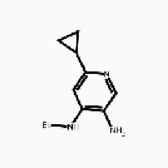 CCNc1cc(C2CC2)ncc1N